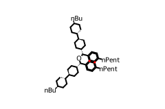 CCCCCc1ccc(C(OC(c2ccc(CCCCC)cc2)[C@H]2CC[C@H]([C@H]3CC[C@H](CCCC)CC3)CC2)[C@H]2CC[C@H]([C@H]3CC[C@H](CCCC)CC3)CC2)cc1